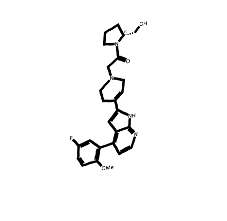 COc1ccc(F)cc1-c1ccnc2[nH]c(C3=CCN(CC(=O)N4CCC[C@@H]4CO)CC3)cc12